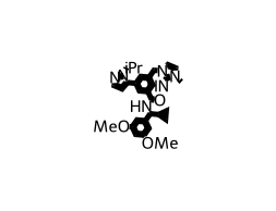 COc1cc(OC)cc(C(NC(=O)c2cc(Cn3ccn(C)c3=N)cc(-c3ccnn3C(C)C)c2)C2CC2)c1